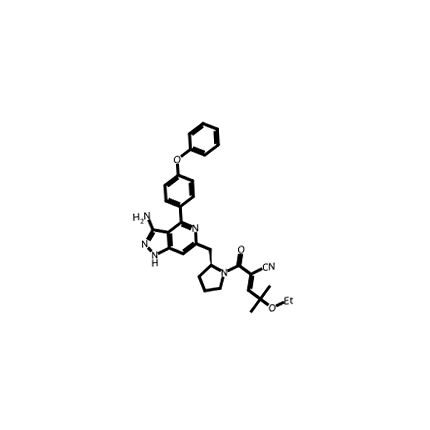 CCOC(C)(C)C=C(C#N)C(=O)N1CCC[C@H]1Cc1cc2[nH]nc(N)c2c(-c2ccc(Oc3ccccc3)cc2)n1